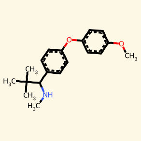 CNC(c1ccc(Oc2ccc(OC)cc2)cc1)C(C)(C)C